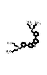 CCCCN(CCCN)Cc1cccc(-c2ccc3sc4ccc(-c5cccc(CN(CCCN)CCCN)c5)cc4c3c2)c1